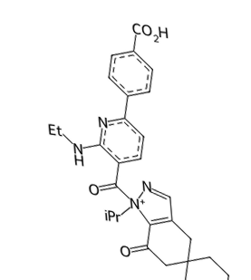 CCNc1nc(-c2ccc(C(=O)O)cc2)ccc1C(=O)[N+]1(C(C)C)N=CC2=C1C(=O)CC1(CCNCC1)C2